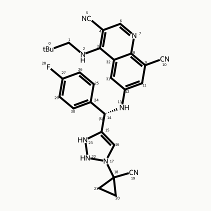 CC(C)(C)CNc1c(C#N)cnc2c(C#N)cc(N[C@H](C3=CN(C4(C#N)CC4)NN3)c3ccc(F)cc3)cc12